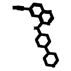 C#Cc1ccc2ncnc(NC3CCC(N4CCOCC4)CC3)c2c1